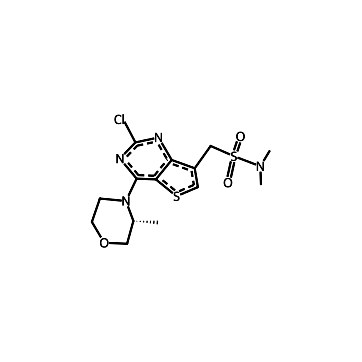 C[C@@H]1COCCN1c1nc(Cl)nc2c(CS(=O)(=O)N(C)C)csc12